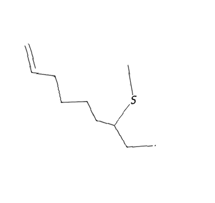 [CH2]CC(CCCCC=C)SC